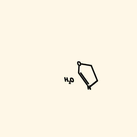 C1=NCCO1.O